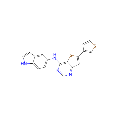 c1nc(Nc2ccc3[nH]ccc3c2)c2sc(-c3ccsc3)cc2n1